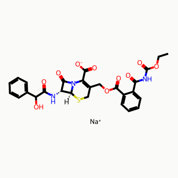 CCOC(=O)NC(=O)c1ccccc1C(=O)OCC1=C(C(=O)[O-])N2C(=O)[C@@H](NC(=O)C(O)c3ccccc3)[C@@H]2SC1.[Na+]